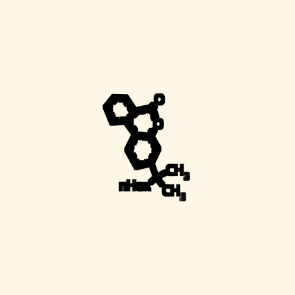 CCCCCCC(C)(C)c1ccc2c(c1)oc(=O)c1ccccc12